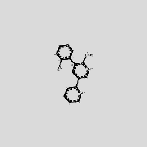 COc1ncc(-c2ccccn2)cc1-c1ccccc1C#N